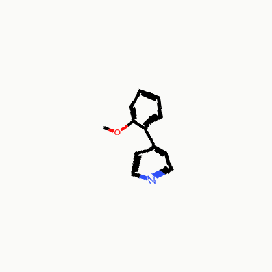 COc1ccccc1-c1ccncc1